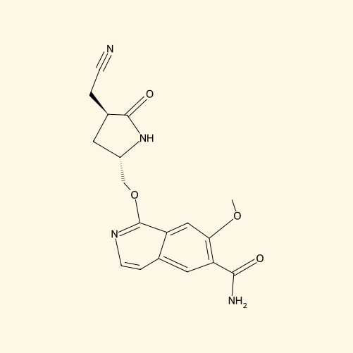 COc1cc2c(OC[C@@H]3C[C@@H](CC#N)C(=O)N3)nccc2cc1C(N)=O